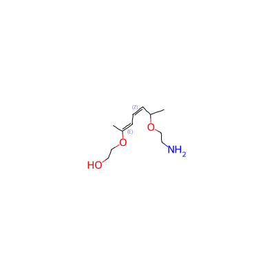 C/C(=C\C=C/C(C)OCCN)OCCO